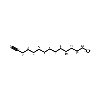 C#CCCCCCCCCCCCC[O]